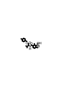 Cc1ccc(COC(=O)[C@@H](NC(=O)c2ccc3c(c2C)B(O)OC3)C(C)C)cc1